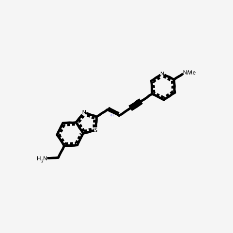 CNc1ccc(C#C/C=C/c2nc3ccc(CN)cc3s2)cn1